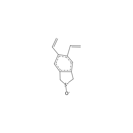 C=Cc1cc2c(cc1C=C)C[S+]([O-])C2